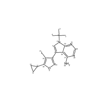 CC(C)(C)n1cc(-c2noc(C3CC3)c2I)c2c(N)ncnc21